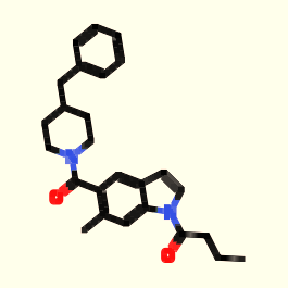 CCCC(=O)n1ccc2cc(C(=O)N3CCC(Cc4ccccc4)CC3)c(C)cc21